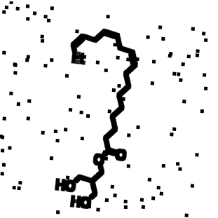 CC/C=C\C/C=C\C/C=C\CCCCCCCC(=O)OCC(CO)CO